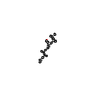 c1ccc(-n2c3ccccc3c3cc4c(cc32)c2ccccc2n4-c2ccc(-c3nc4ccc(-c5ccc(-n6c7ccccc7c7cc8c(cc76)c6ccccc6n8-c6ccc(-c7cnc8ccccc8n7)cc6)cc5)cc4nc3-c3ccc4ccccc4c3)cc2)cc1